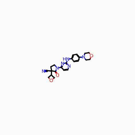 N#CC1(C2COC2)CCN(c2ccnc(Nc3ccc(N4CCOCC4)cc3)n2)C1=O